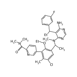 CCOc1c(C(C)N(C)c2ncnc(N)c2C(CC)c2cccc(F)c2)cc(Cl)c(C)c1-c1ccc(C(=O)N(C)C)nc1